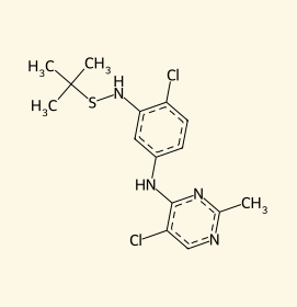 Cc1ncc(Cl)c(Nc2ccc(Cl)c(NSC(C)(C)C)c2)n1